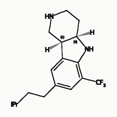 CC(C)CCc1cc2c(c(C(F)(F)F)c1)N[C@@H]1CCNC[C@H]21